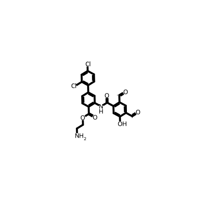 NCCOC(=O)c1ccc(-c2ccc(Cl)cc2Cl)cc1NC(=O)c1cc(O)c([C]=O)cc1[C]=O